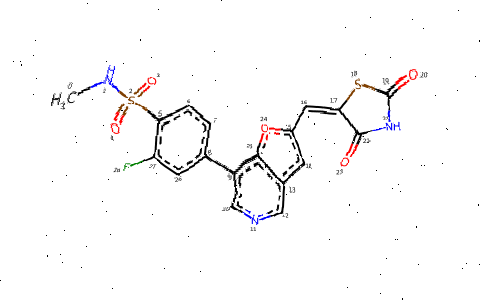 CNS(=O)(=O)c1ccc(-c2cncc3cc(C=C4SC(=O)NC4=O)oc23)cc1F